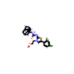 COCCn1cc(-c2ccc(F)cc2F)sc1=NC(=O)NC12CC3CC(CC(C3)C1)C2